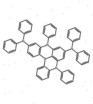 c1ccc(N(c2ccccc2)c2ccc3c(c2)N(c2ccccc2)c2cc(N(c4ccccc4)c4ccccc4)cc4c2B3c2ccccc2N4c2ccccc2)cc1